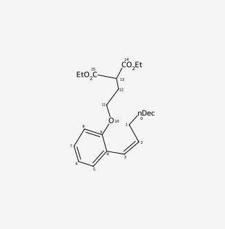 CCCCCCCCCCC/C=C\c1ccccc1OCCC(C(=O)OCC)C(=O)OCC